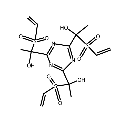 C=CS(=O)(=O)C(C)(O)c1nc(C(C)(O)S(=O)(=O)C=C)nc(C(C)(O)S(=O)(=O)C=C)n1